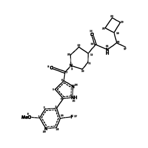 COc1cc(-c2cc(C(=O)N3CCC(C(=O)NC(C)C4CCC4)CC3)n[nH]2)c(F)cn1